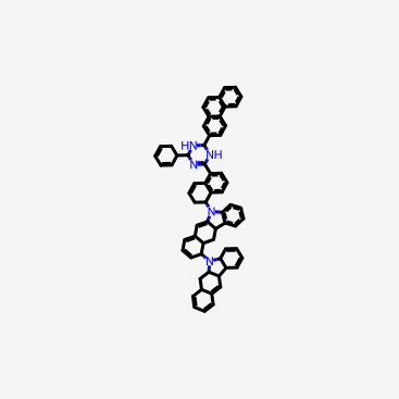 C1=CCC(C2N=C(c3cccc4c3C=CCC4N3C4=CC5=CC=CC(N6C7C=CC=CC7C7C=C8C=CC=CC8CC76)C5CC4c4ccccc43)NC(c3ccc4c(ccc5ccccc54)c3)N2)C=C1